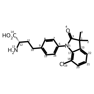 CC1(C)C(=O)N(c2ccc(CC[C@H](N)C(=O)O)cc2)c2c(Cl)cccc21